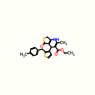 CCOC(=O)C1=C(C)NC2=C(C(=O)SC2)C1c1ccsc1Cc1ccc(C)cc1